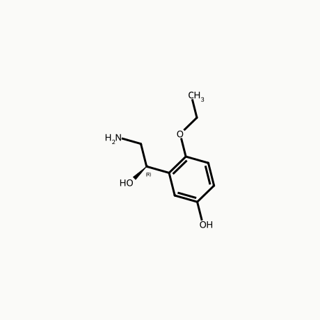 CCOc1ccc(O)cc1[C@@H](O)CN